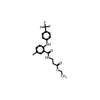 CCOC(=O)CCNC(=O)c1cc(I)ccc1Nc1ccc(C(F)(F)F)cc1